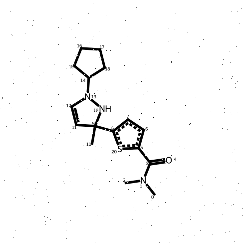 CN(C)C(=O)c1ccc(C2(C)C=CN(C3CCCC3)N2)s1